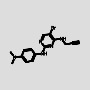 C#CCNc1nc(Nc2ccc(N(C)C)cc2)ncc1Br